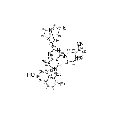 CCc1c(F)ccc2cc(O)cc(-c3ncc4c(N5CCn6ncc(C#N)c6C5)nc(OC[C@@]56CCCN5C[C@H](F)C6)nc4c3F)c12